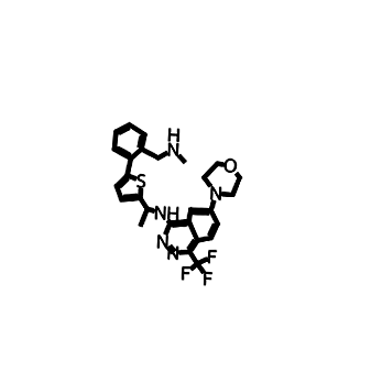 CNCc1ccccc1-c1ccc(C(C)Nc2nnc(C(F)(F)F)c3ccc(N4CCOCC4)cc23)s1